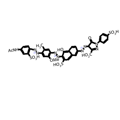 COc1cc(/N=N/c2ccc(NC(C)=O)cc2S(=O)(=O)O)c(C)cc1/N=N/c1c(S(=O)(=O)O)cc2cc(/N=N/C3C(=O)N(c4ccc(S(=O)(=O)O)cc4)N=C3C(=O)O)ccc2c1O